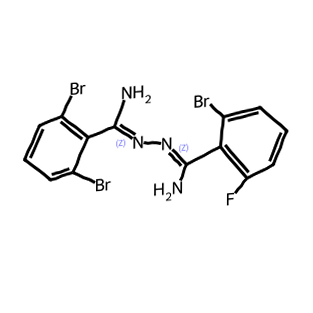 N/C(=N\N=C(/N)c1c(Br)cccc1Br)c1c(F)cccc1Br